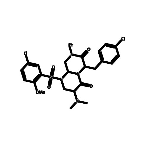 COc1ccc(Cl)cc1S(=O)(=O)N1CC(N(C)C)C(=O)N2C(Cc3ccc(Cl)cc3)C(=O)N(C(C)C)CC21